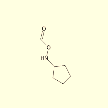 O=CONC1CCCC1